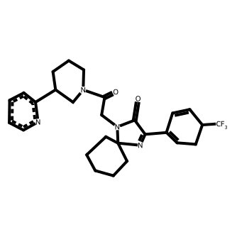 O=C(CN1C(=O)C(C2=CCC(C(F)(F)F)C=C2)=NC12CCCCC2)N1CCCC(c2ccccn2)C1